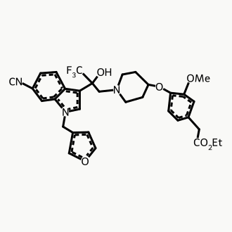 [C-]#[N+]c1ccc2c(C(O)(CN3CCC(Oc4ccc(CC(=O)OCC)cc4OC)CC3)C(F)(F)F)cn(Cc3ccoc3)c2c1